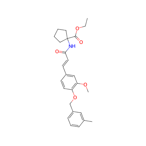 CCOC(=O)C1(NC(=O)C=Cc2ccc(OCc3cccc(C)c3)c(OC)c2)CCCC1